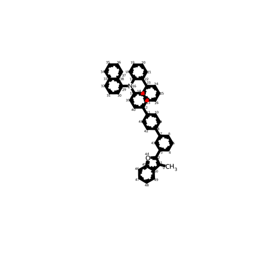 Cc1c(-c2cccc(-c3ccc(-c4ccc(N(c5ccccc5-c5ccccc5)c5cccc6ccccc56)cc4)cc3)c2)oc2ccccc12